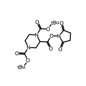 CC(C)(C)OC(=O)N1CCN(C(=O)OC(C)(C)C)C(C(=O)ON2C(=O)CCC2=O)C1